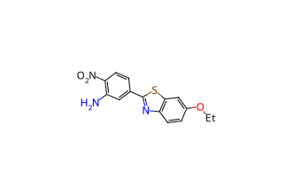 CCOc1ccc2nc(-c3ccc([N+](=O)[O-])c(N)c3)sc2c1